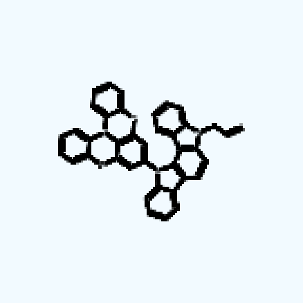 C=CCn1c2ccccc2c2c1ccc1c3ccccc3n(-c3cc4c5c(c3)Oc3ccccc3B5c3ccccc3O4)c12